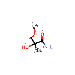 CCCOCC(O)(C(N)=O)C(C)(C)C